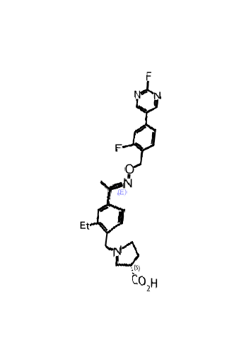 CCc1cc(/C(C)=N/OCc2ccc(-c3cnc(F)nc3)cc2F)ccc1CN1CC[C@H](C(=O)O)C1